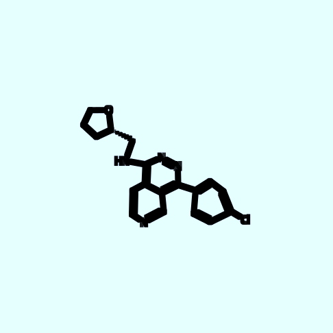 Clc1ccc(-c2nnc(NC[C@@H]3CCCO3)c3ccncc23)cc1